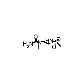 CS(=O)(=O)N[CH]CNC(N)=O